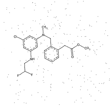 COC(=O)Cc1ccccc1CN(C)c1cc(Cl)cc(NCC(F)F)c1